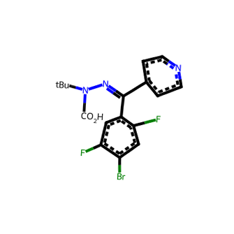 CC(C)(C)N(/N=C(/c1ccncc1)c1cc(F)c(Br)cc1F)C(=O)O